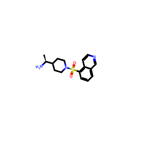 C[C@H](N)C1CCN(S(=O)(=O)c2cccc3cnccc23)CC1